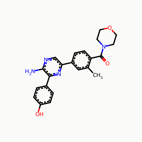 Cc1cc(-c2cnc(N)c(-c3ccc(O)cc3)n2)ccc1C(=O)N1CCOCC1